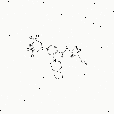 N#Cc1nnc(C(=O)Nc2ccc(C3CS(=O)(=O)NS(=O)(=O)C3)cc2N2CCC3(CCCC3)CC2)[nH]1